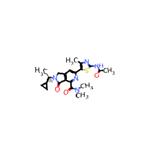 CC(=O)Nc1nc(C)c(-c2cc3c(c(C(=O)N(C)C)n2)C(=O)N([C@@H](C)C2CC2)C3)s1